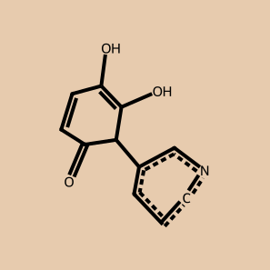 O=C1C=CC(O)=C(O)C1c1cccnc1